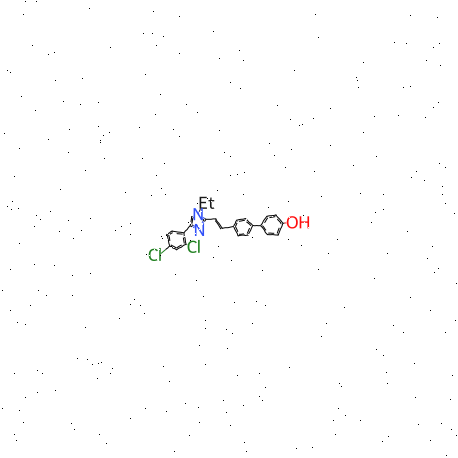 CCn1cc(-c2ccc(Cl)cc2Cl)nc1C=Cc1ccc(-c2ccc(O)cc2)cc1